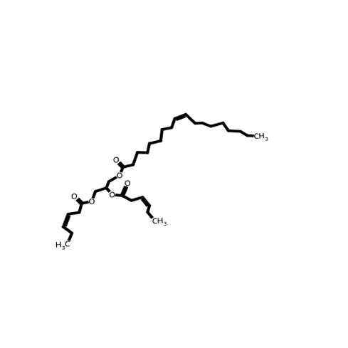 CC/C=C\CC(=O)OCC(COC(=O)CCCCCCC/C=C\CCCCCCCC)OC(=O)C/C=C\CC